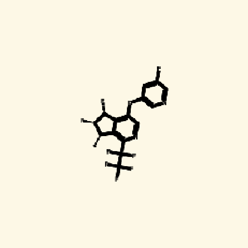 C[C@H]1c2c(C(F)(F)C(F)(F)F)ncc(Oc3cncc(F)c3)c2[C@@H](F)[C@H]1F